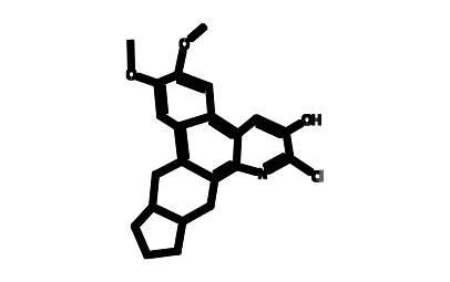 COc1cc2c3c(c4nc(Cl)c(O)cc4c2cc1OC)CC1CCCC1C3